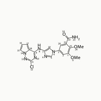 COc1cc(-n2cnc(Nc3nc(Cl)nn4cccc34)c2)cc(C(N)=O)c1OC